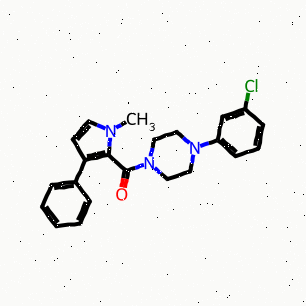 Cn1ccc(-c2ccccc2)c1C(=O)N1CCN(c2cccc(Cl)c2)CC1